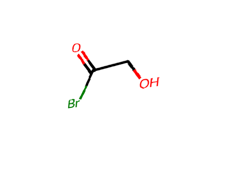 O=C(Br)CO